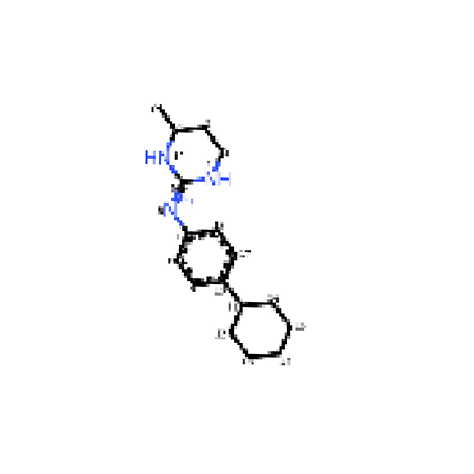 CC1CCN/C(=N\c2ccc(C3CCCCC3)cc2)N1